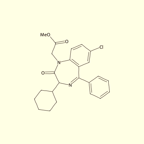 COC(=O)CN1C(=O)C(C2CCCCC2)N=C(c2ccccc2)c2cc(Cl)ccc21